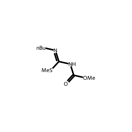 CCCC/N=C(/NC(=O)OC)SC